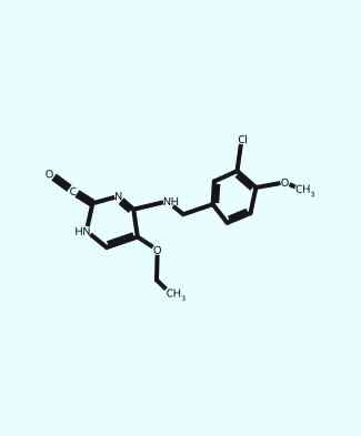 CCOC1=CNC(=C=O)N=C1NCc1ccc(OC)c(Cl)c1